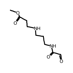 COC(=O)CCNCCCNC(=O)C=O